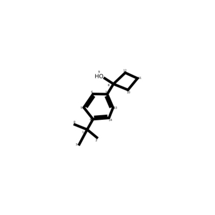 CC(C)(C)c1ccc(C2(O)CCC2)cc1